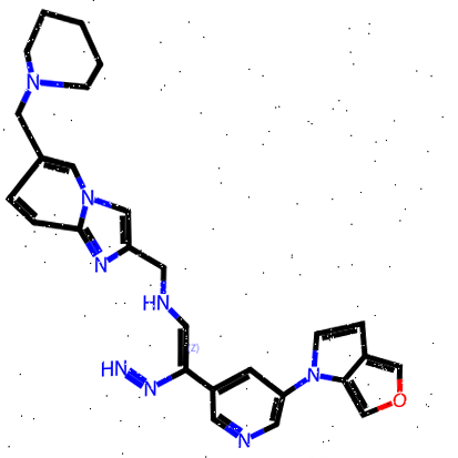 N=N/C(=C\NCc1cn2cc(CN3CCCCC3)ccc2n1)c1cncc(-n2ccc3cocc32)c1